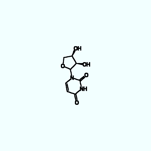 O=c1ccn(C2OC[C@@H](O)[C@H]2O)c(=O)[nH]1